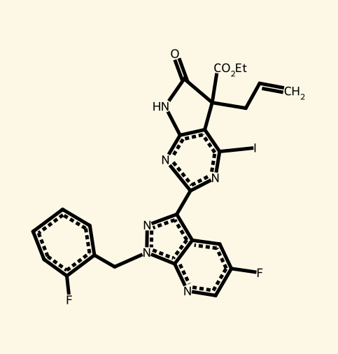 C=CCC1(C(=O)OCC)C(=O)Nc2nc(-c3nn(Cc4ccccc4F)c4ncc(F)cc34)nc(I)c21